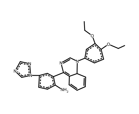 CCOc1ccc(N2C=NC(c3cc(-n4cncn4)ccc3N)=C3C=CC=CC32)cc1OCC